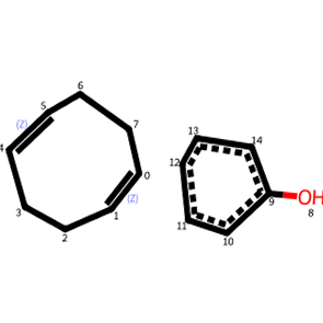 C1=C\CC/C=C\CC/1.Oc1ccccc1